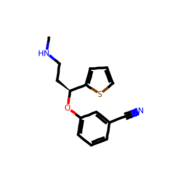 CNCC[C@H](Oc1cccc(C#N)c1)c1cccs1